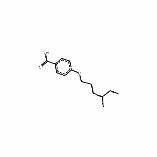 CCC(C)CCCOc1ccc(C(=O)O)cc1